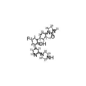 Cc1cc(-c2cc(F)cc(-c3ccnc(N4CCNCC4)c3)c2O)ccc1N1CCN(C)C1=O